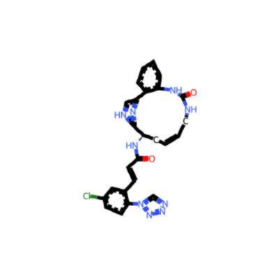 O=C(C=Cc1cc(Cl)ccc1-n1cnnn1)N[C@H]1CC=CCNC(=O)Nc2ccccc2-c2c[nH]c1n2